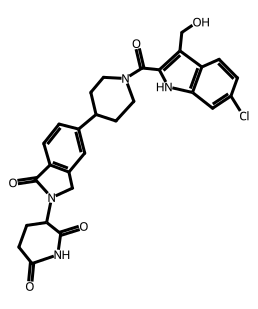 O=C1CCC(N2Cc3cc(C4CCN(C(=O)c5[nH]c6cc(Cl)ccc6c5CO)CC4)ccc3C2=O)C(=O)N1